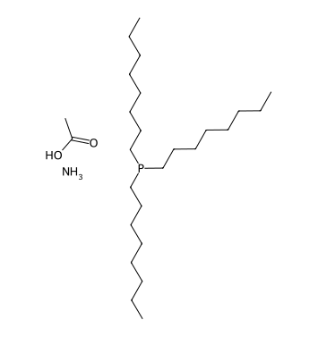 CC(=O)O.CCCCCCCCP(CCCCCCCC)CCCCCCCC.N